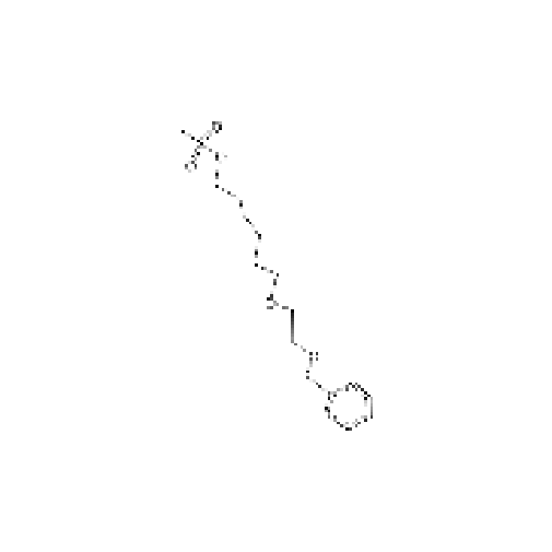 CS(=O)(=O)OCCCCCCOCCOCc1ccccc1